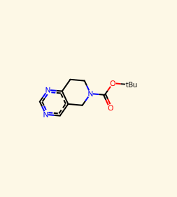 CC(C)(C)OC(=O)N1CCc2ncncc2C1